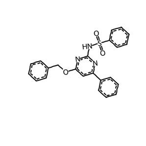 O=S(=O)(Nc1nc(OCc2ccccc2)cc(-c2ccccc2)n1)c1ccccc1